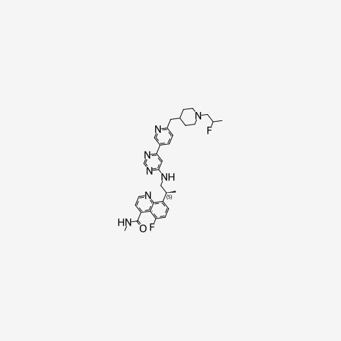 CNC(=O)c1ccnc2c([C@H](C)CNc3cc(-c4ccc(CC5CCN(CC(C)F)CC5)nc4)ncn3)ccc(F)c12